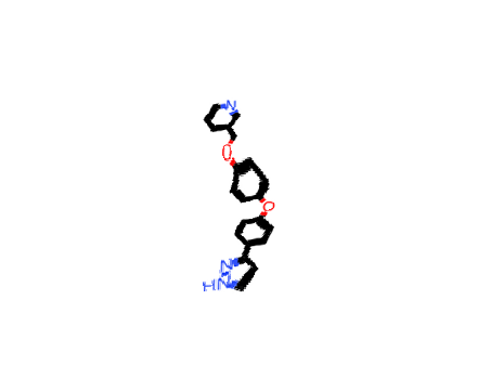 c1cncc(COc2ccc(Oc3ccc(-c4cc[nH]n4)cc3)cc2)c1